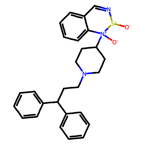 [O-][S+]1N=Cc2ccccc2[N+]1([O-])C1CCN(CCC(c2ccccc2)c2ccccc2)CC1